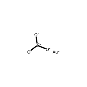 [Au+].[O-][I+2]([O-])[O-]